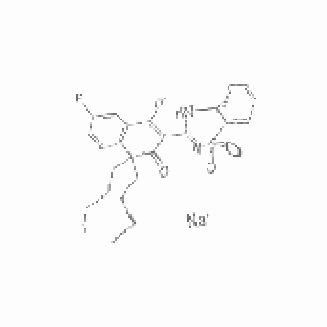 CCCCC1(CCCC)C(=O)C(C2=NS(=O)(=O)c3ccccc3N2)=C([O-])c2cc(F)ccc21.[Na+]